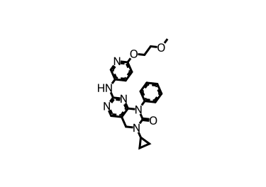 COCCOc1ccc(Nc2ncc3c(n2)N(c2ccccc2)C(=O)N(C2CC2)C3)cn1